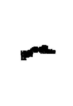 CCc1cc2ncc(CN3CC=C(c4cnc5c(NC)nccc5c4)CC3)cc2[nH]c1=O